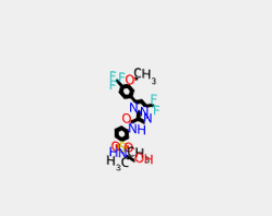 CCOc1cc(-c2cc(C(F)F)n3ncc(C(=O)Nc4cccc(S(=O)(=O)NC(C)(C)CO)c4)c3n2)ccc1C(F)(F)F